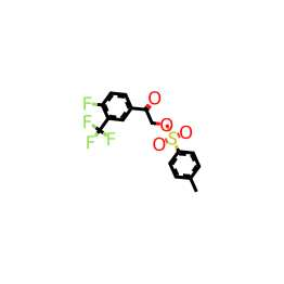 Cc1ccc(S(=O)(=O)OCC(=O)c2ccc(F)c(C(F)(F)F)c2)cc1